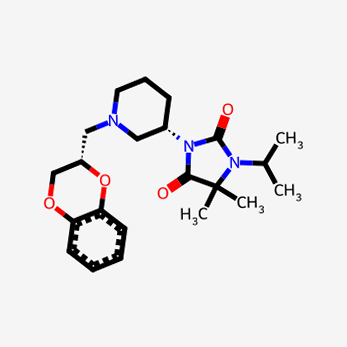 CC(C)N1C(=O)N([C@H]2CCCN(C[C@H]3COc4ccccc4O3)C2)C(=O)C1(C)C